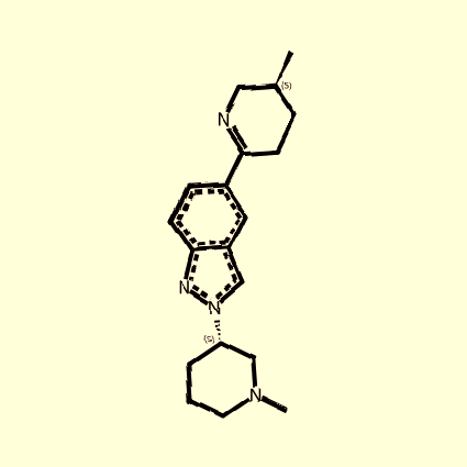 C[C@H]1CCC(c2ccc3nn([C@H]4CCCN(C)C4)cc3c2)=NC1